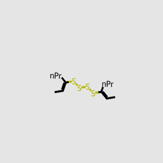 CC=C(CCC)SSSS/C(=C/C)CCC